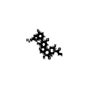 C=CC(=O)N1C[C@@H]2C(=O)N(C)c3cnc4c(F)c(-c5ccc(F)c6sc(N)nc56)c(Cl)cc4c3N2C[C@H]1C